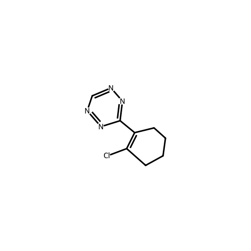 ClC1=C(c2nncnn2)CCCC1